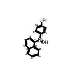 CC(C)c1ccc(N(O)c2cccc3ccccc23)cc1